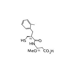 CO[C@@H](CC(=O)O)NC(=O)[C@@H](CS)Cc1ccccc1C